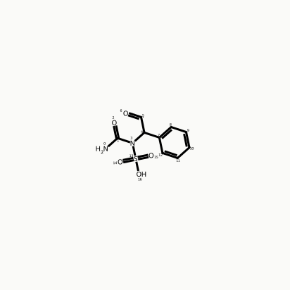 NC(=O)N(C([C]=O)c1ccccc1)S(=O)(=O)O